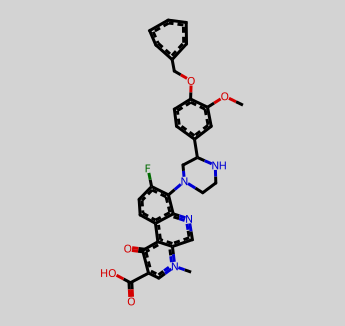 COc1cc(C2CN(c3c(F)ccc4c3ncc3c4c(=O)c(C(=O)O)cn3C)CCN2)ccc1OCc1ccccc1